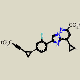 CCOC(=O)C#CC1C[C@@H]1c1ccc(-c2cn3nc(C(=O)O)cc(C4CC4)c3n2)c(F)c1